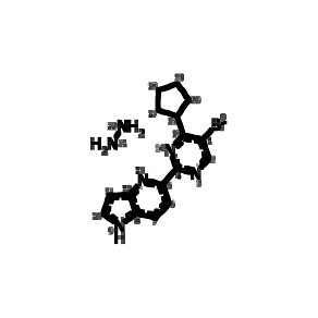 Brc1cnc(-c2ccc3[nH]ccc3n2)nc1C1CCCC1.NN